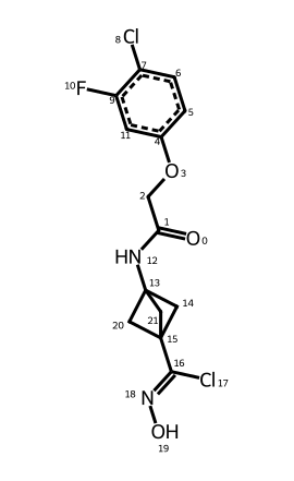 O=C(COc1ccc(Cl)c(F)c1)NC12CC(C(Cl)=NO)(C1)C2